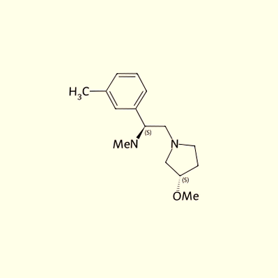 CN[C@H](CN1CC[C@H](OC)C1)c1cccc(C)c1